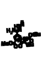 C=NN/N=C(\N)[C@@H]1C[C@@H](C(=O)OC)N(C(=O)[C@@H](NC(=O)OC(C)(C)C)C(C)(C)C)C1